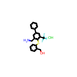 Cl.NCc1cc(-c2ccccc2)cc(C(F)(F)F)c1Sc1ccccc1CO